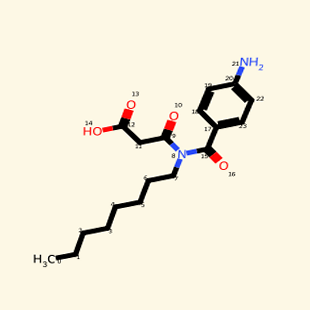 CCCCCCCCN(C(=O)CC(=O)O)C(=O)c1ccc(N)cc1